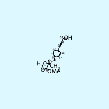 COC(=O)C(C)(C)OCc1ccc(C#CCO)cc1